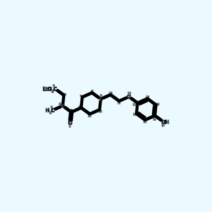 CCOC(=O)CN(C)C(=O)C1CCN(CCOc2ccc(O)cc2)CC1